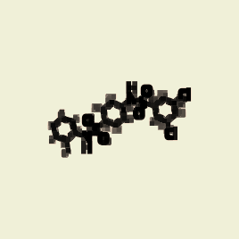 Cc1ccccc1NS(=O)(=O)c1ccc(NS(=O)(=O)c2cc(Cl)cc(Cl)c2)cc1